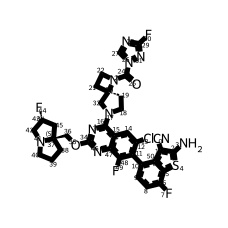 N#Cc1c(N)sc2c(F)ccc(-c3c(Cl)cc4c(N5CC[C@@]6(CCN6C(=O)n6cnc(F)n6)C5)nc(OC[C@@]56CCCN5C[C@H](F)C6)nc4c3F)c12